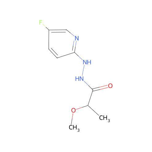 COC(C)C(=O)NNc1ccc(F)cn1